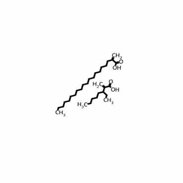 C=C(C(=O)O)C(CC)CCCCC.C=C(CCCCCCCCCCCCCCCCCC)C(=O)O